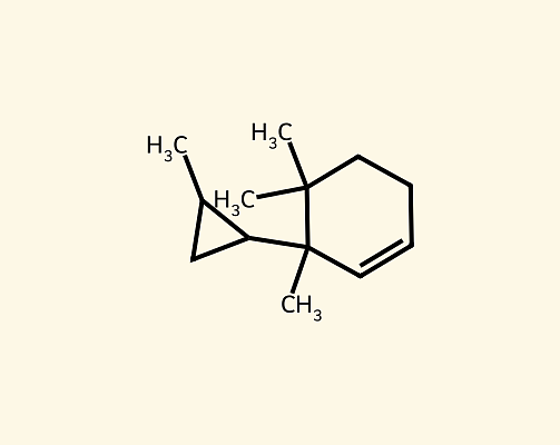 CC1CC1C1(C)C=CCCC1(C)C